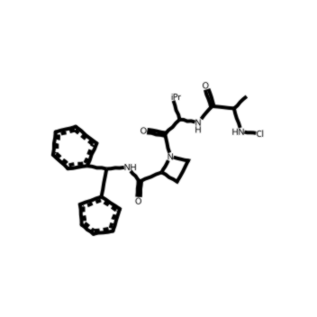 CC(NCl)C(=O)NC(C(=O)N1CCC1C(=O)NC(c1ccccc1)c1ccccc1)C(C)C